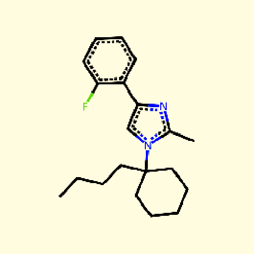 CCCCC1(n2cc(-c3ccccc3F)nc2C)CCCCC1